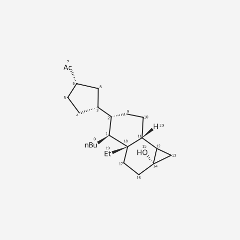 CCCC[C@H]1[C@H]([C@@H]2CC[C@H](C(C)=O)C2)CC[C@@H]2C3C[C@@]3(O)CC[C@@]21CC